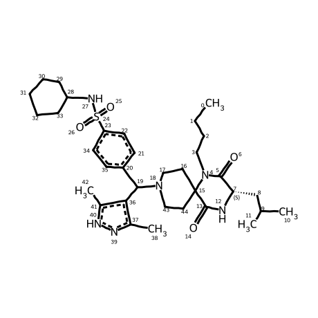 CCCCN1C(=O)[C@H](CC(C)C)NC(=O)C12CCN(C(c1ccc(S(=O)(=O)NC3CCCCC3)cc1)c1c(C)n[nH]c1C)CC2